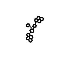 c1ccc(-n2c3cc(-c4ccc5ccc6cccc7ccc4c5c67)ccc3c3ccc(-c4ccc5ccc6cccc7ccc4c5c67)cc32)cc1